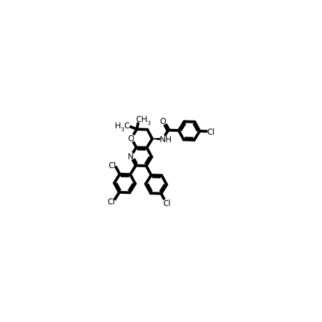 CC1(C)C[C@@H](NC(=O)c2ccc(Cl)cc2)c2cc(-c3ccc(Cl)cc3)c(-c3ccc(Cl)cc3Cl)nc2O1